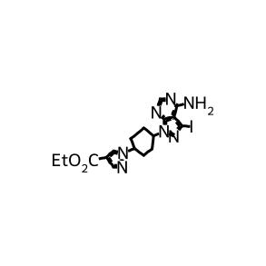 CCOC(=O)c1cnn(C2CCC(n3nc(I)c4c(N)ncnc43)CC2)c1